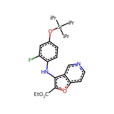 CCOC(=O)c1oc2ccncc2c1Nc1ccc(O[Si](C(C)C)(C(C)C)C(C)C)cc1F